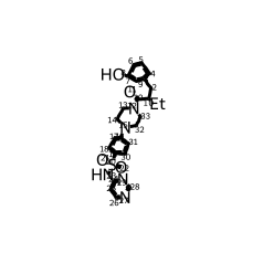 CCC(Cc1cccc(O)c1)C(=O)N1CCN(c2ccc(S(=O)(=O)Nc3ccncn3)cc2)CC1